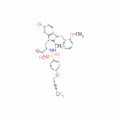 CC#CCOc1ccc(S(=O)(=O)NC(Cc2c(C)n(Cc3ccccc3OC)c3ccc(Cl)cc23)C(=O)O)cc1